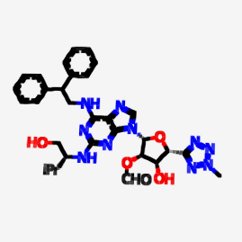 CC(C)[C@@H](CO)Nc1nc(NCC(c2ccccc2)c2ccccc2)c2ncn([C@@H]3O[C@H](c4nnn(C)n4)[C@@H](O)[C@H]3OC=O)c2n1